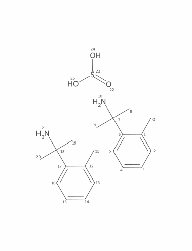 Cc1ccccc1C(C)(C)N.Cc1ccccc1C(C)(C)N.O=S(O)O